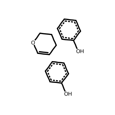 C1=COCCC1.Oc1ccccc1.Oc1ccccc1